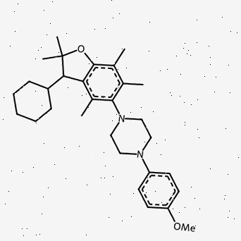 COc1ccc(N2CCN(c3c(C)c(C)c4c(c3C)C(C3CCCCC3)C(C)(C)O4)CC2)cc1